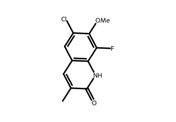 COc1c(Cl)cc2cc(C)c(=O)[nH]c2c1F